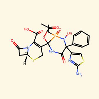 CCP1(=O)N(O)C(c2ccccc2)(c2csc(N)n2)C(=O)NC1(OC(C)=O)C1=C(C(=O)O)N2C(=O)C[C@H]2SC1